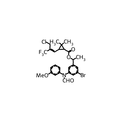 COc1cccc(N(C=O)c2cc(Br)cc(C(C)OC(=O)C3C(C=C(CCl)C(F)(F)F)C3(C)C)c2)c1